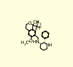 COc1cc2c(cc1CN[C@H]1CCCN[C@H]1c1ccccc1)C(C)(C(F)(F)F)OCC2